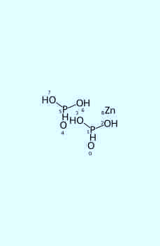 O=[PH](O)O.O=[PH](O)O.[Zn]